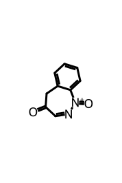 O=C1C=N[N+](=O)c2ccccc2C1